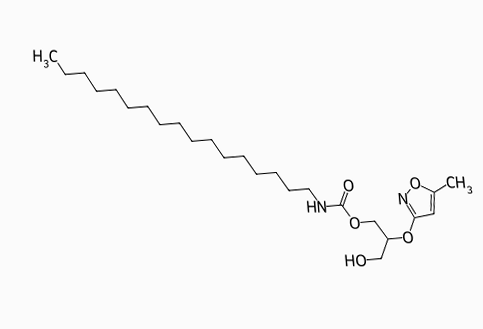 CCCCCCCCCCCCCCCCCNC(=O)OCC(CO)Oc1cc(C)on1